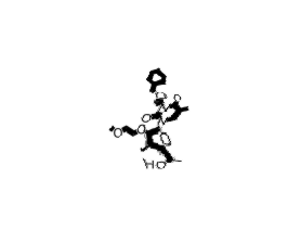 COCCO[C@@H]1[C@H](C)[C@@H]([C@H](C)O)O[C@H]1n1cc(C)c(=O)n(COCc2ccccc2)c1=O